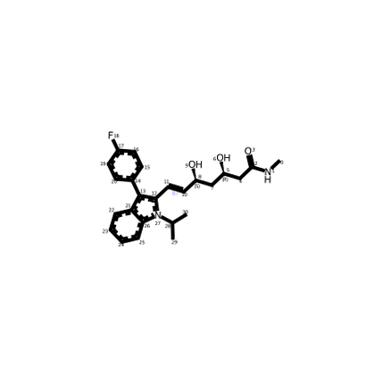 CNC(=O)C[C@H](O)C[C@H](O)/C=C/c1c(-c2ccc(F)cc2)c2ccccc2n1C(C)C